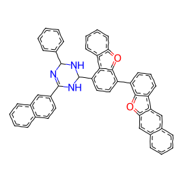 c1ccc(C2N=C(c3ccc4ccccc4c3)NC(c3ccc(-c4cccc5c4oc4cc6ccccc6cc45)c4oc5ccccc5c34)N2)cc1